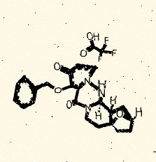 O=C(O)C(F)(F)F.O=C1c2c(OCc3ccccc3)c(=O)ccn2N[C@H]2[C@@H]3C[C@H]4CC[C@]3(CCN12)O4